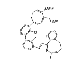 CNCC1=C/C=C(/c2cccc(-c3cccc(/C=C/C4=N/C(C)=C\CCc5cccnc54)c3C)c2Cl)CC/C=C\1OC